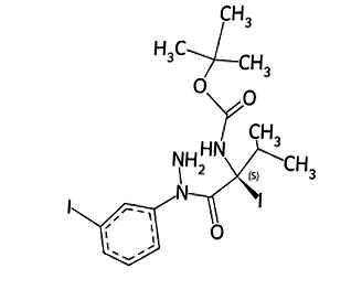 CC(C)[C@@](I)(NC(=O)OC(C)(C)C)C(=O)N(N)c1cccc(I)c1